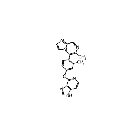 Cc1cc(Oc2nccc3[nH]cnc23)ccc1-c1c(C)ncc2nccn12